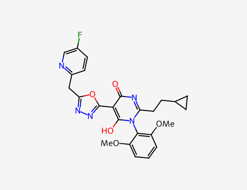 COc1cccc(OC)c1-n1c(CCC2CC2)nc(=O)c(-c2nnc(Cc3ccc(F)cn3)o2)c1O